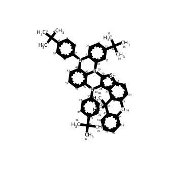 CC(C)(C)c1ccc(N2c3ccc(C(C)(C)C)cc3B3c4sc5ccc6c(c5c4N(c4ccc(C(C)(C)C)cc4)c4cccc2c43)C(C)(C)c2ccccc2O6)cc1